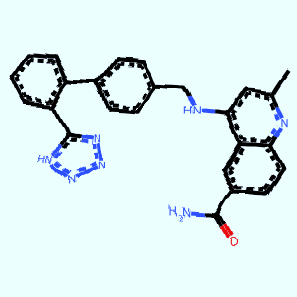 Cc1cc(NCc2ccc(-c3ccccc3-c3nnn[nH]3)cc2)c2cc(C(N)=O)ccc2n1